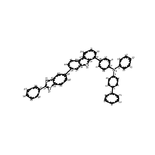 c1ccc(-c2ccc(N(c3ccccc3)c3ccc(-c4cccc5c4oc4cc(-c6ccc7oc(-c8ccccc8)nc7c6)ccc45)cc3)cc2)cc1